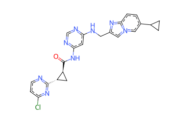 O=C(Nc1cc(NCc2cn3cc(C4CC4)ccc3n2)ncn1)[C@H]1C[C@@H]1c1nccc(Cl)n1